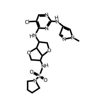 Cn1cc(Nc2ncc(Cl)c(NC3COC4C(NS(=O)(=O)N5CCCC5)COC34)n2)cn1